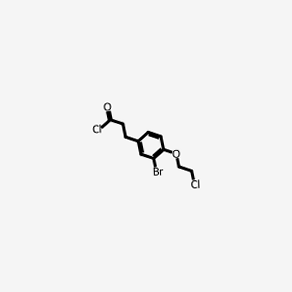 O=C(Cl)CCc1ccc(OCCCl)c(Br)c1